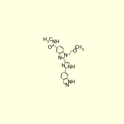 CNC(=O)c1ccc2c(c1)nc(-c1c[nH]c(-c3ccc4cn[nH]c4c3)n1)n2CCOC